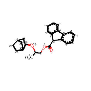 CC(COC(=O)C1c2ccccc2-c2ccccc21)OC1CC2CCC1C2